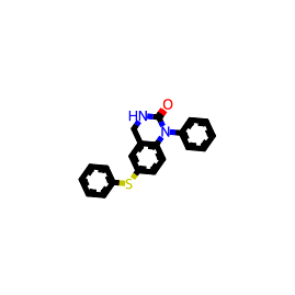 O=C1NCc2cc(Sc3ccccc3)ccc2N1c1ccccc1